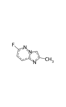 Cc1cn2nc(F)ccc2n1